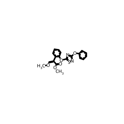 COC=C(C(=O)OC)c1ccccc1Oc1nc(Oc2ccccc2)ns1